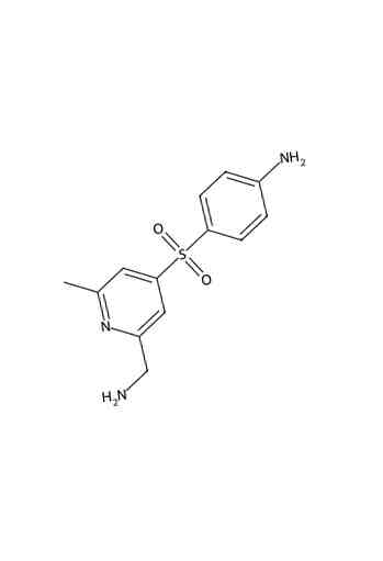 Cc1cc(S(=O)(=O)c2ccc(N)cc2)cc(CN)n1